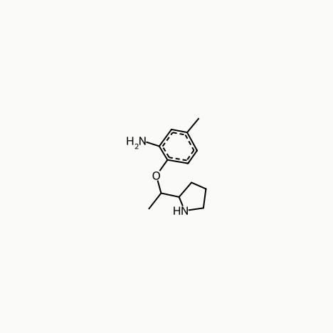 Cc1ccc(OC(C)C2CCCN2)c(N)c1